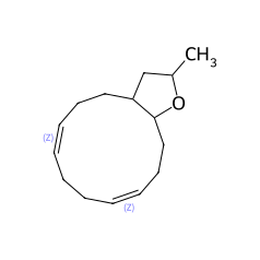 CC1CC2CC/C=C\CC/C=C\CCC2O1